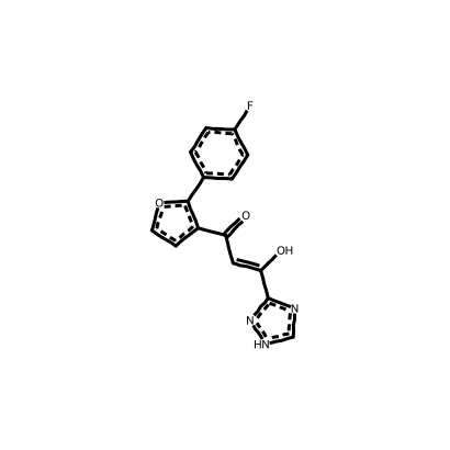 O=C(C=C(O)c1nc[nH]n1)c1ccoc1-c1ccc(F)cc1